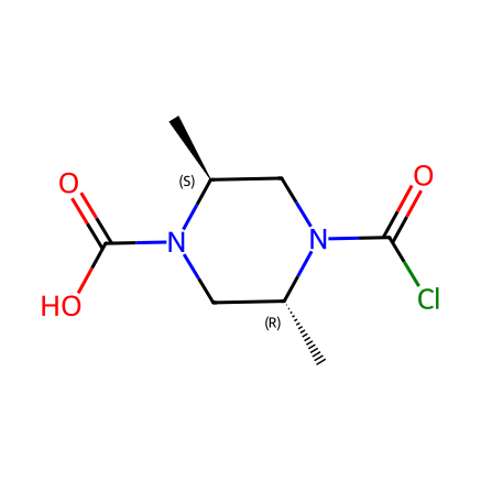 C[C@@H]1CN(C(=O)O)[C@@H](C)CN1C(=O)Cl